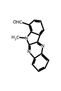 Cn1c2nc3ccccc3nc2c2cccc(C=O)c21